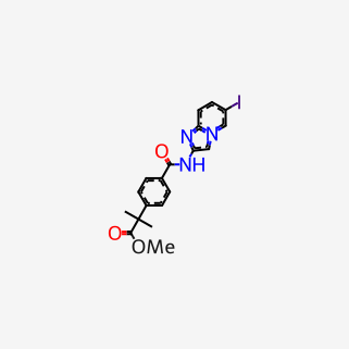 COC(=O)C(C)(C)c1ccc(C(=O)Nc2cn3cc(I)ccc3n2)cc1